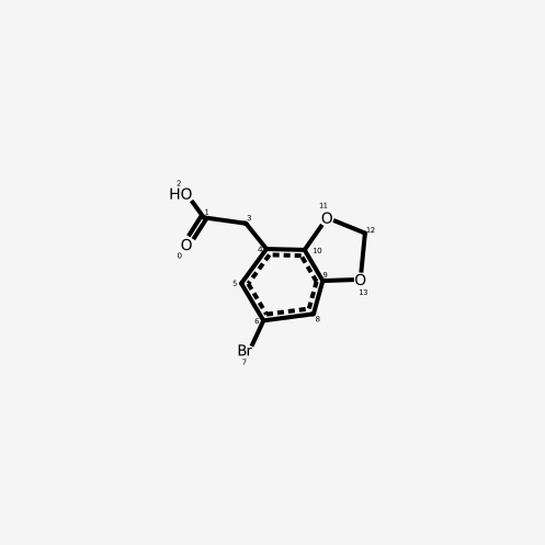 O=C(O)Cc1cc(Br)cc2c1OCO2